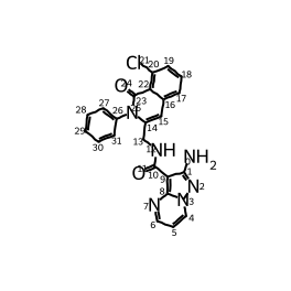 Nc1nn2cccnc2c1C(=O)NCc1cc2cccc(Cl)c2c(=O)n1-c1ccccc1